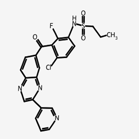 CCCS(=O)(=O)Nc1ccc(Cl)c(C(=O)c2ccc3ncc(-c4cccnc4)nc3c2)c1F